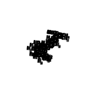 CC[Si](CC)(CC)OCC1O[C@@H](OC2[C@H](O[C@H]3CCC4(C)C5CC=C6C7CC(C)(C)CC[C@]7(C(=O)O)C(OC)C[C@@]6(C)[C@@]5(C)CC[C@H]4[C@@]3(C)C=O)OC(C(=O)O)[C@@H](C)[C@@H]2O[C@@H]2OC[C@@H](C)[C@@H](C)C2C)C(O[Si](CC)(CC)CC)[C@@H](C)[C@@H]1C